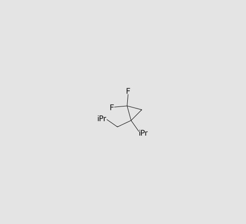 CC(C)CC1(C(C)C)CC1(F)F